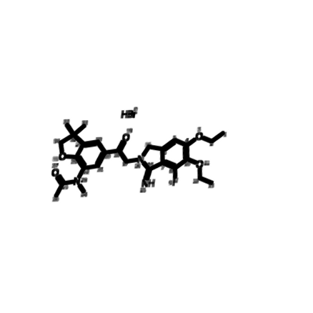 Br.CCOc1cc2c(c(F)c1OCC)C(=N)N(CC(=O)c1cc(N(C)C(C)=O)c3c(c1)C(C)(C)CO3)C2